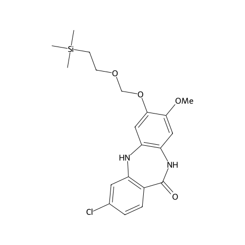 COc1cc2c(cc1OCOCC[Si](C)(C)C)Nc1cc(Cl)ccc1C(=O)N2